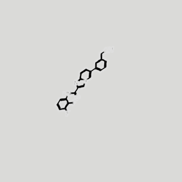 O=C(Nc1cccc(F)c1F)c1cn2cc(-c3cccc(CO)c3)ccc2n1